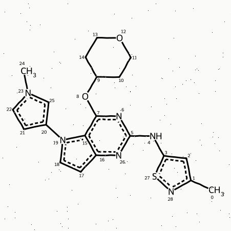 Cc1cc(Nc2nc(OC3CCOCC3)c3c(ccn3-c3ccn(C)c3)n2)sn1